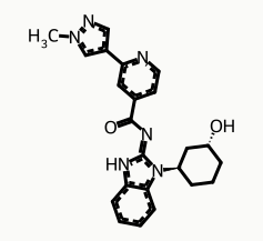 Cn1cc(-c2cc(C(=O)/N=c3\[nH]c4ccccc4n3[C@@H]3CCC[C@@H](O)C3)ccn2)cn1